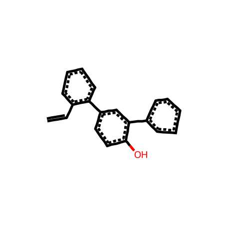 C=Cc1ccccc1-c1ccc(O)c(-c2ccccc2)c1